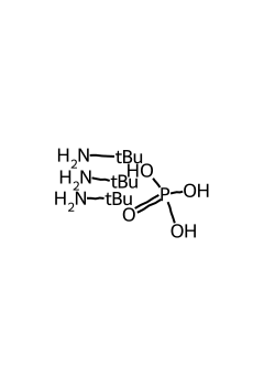 CC(C)(C)N.CC(C)(C)N.CC(C)(C)N.O=P(O)(O)O